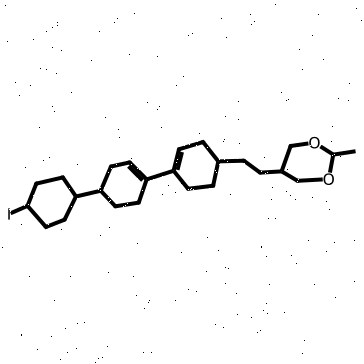 CC1OCC(CCC2CC=C(C3=CCC(C4CCC(I)CC4)CC3)CC2)CO1